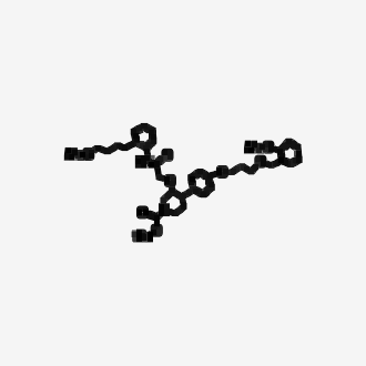 COCCCCc1ccccc1NC(=O)COC1CN(C(=O)OC(C)(C)C)CCC1c1ccc(OCCCOCc2ccccc2OC)cc1